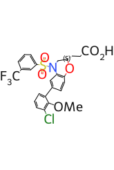 COc1c(Cl)cccc1-c1ccc2c(c1)N(S(=O)(=O)c1cccc(C(F)(F)F)c1)C[C@H](CCC(=O)O)O2